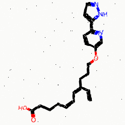 C=C/C(=C\C=C/CCCC(=O)O)CCCOc1ccc(-c2ccn[nH]2)nc1